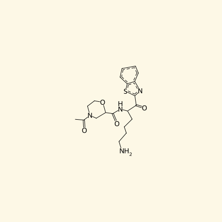 CC(=O)N1CCOC(C(=O)NC(CCCCN)C(=O)c2nc3ccccc3s2)C1